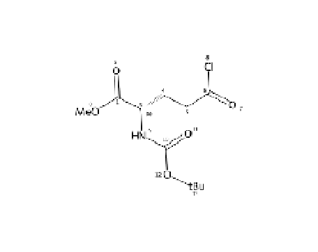 COC(=O)[C@H](CCC(=O)Cl)NC(=O)OC(C)(C)C